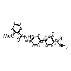 COc1ccccc1C(=O)NCc1ccc(-c2ccc(C(N)=O)c(F)c2)cc1